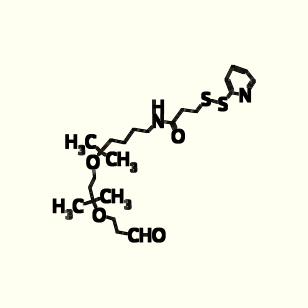 CC(C)(CCCCNC(=O)CCSSc1ccccn1)OCCC(C)(C)OCCC=O